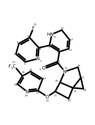 O=C(C1=C(c2ncccc2F)NCC=C1)N1CC2CC23CC(Oc2ccc(C(F)(F)F)cn2)C13